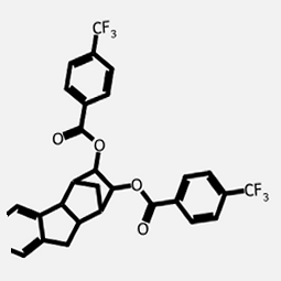 O=C(OC1C2CC(C1OC(=O)c1ccc(C(F)(F)F)cc1)C1c3ccccc3CC21)c1ccc(C(F)(F)F)cc1